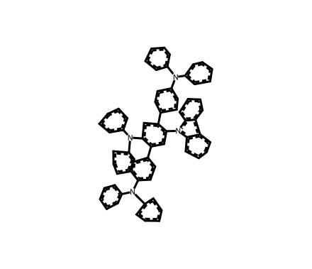 c1ccc(N(c2ccccc2)c2ccc(-c3cc(-n4c5ccccc5c5ccccc54)c(-c4ccc(N(c5ccccc5)c5ccccc5)cc4)cc3N(c3ccccc3)c3ccccc3)cc2)cc1